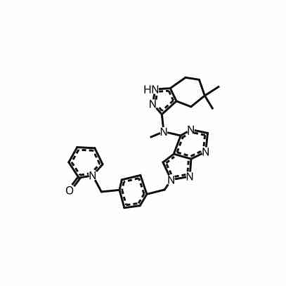 CN(c1n[nH]c2c1CC(C)(C)CC2)c1ncnc2nn(Cc3ccc(Cn4ccccc4=O)cc3)cc12